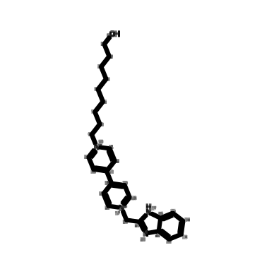 OCCCCCCCCC[n+]1ccc(-c2cc[n+](Cc3nc4ccccc4[nH]3)cc2)cc1